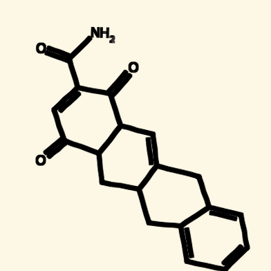 NC(=O)C1=CC(=O)C2CC3Cc4ccccc4CC3=CC2C1=O